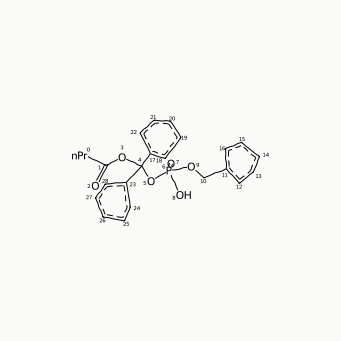 CCCC(=O)OC(OP(=O)(O)OCc1ccccc1)(c1ccccc1)c1ccccc1